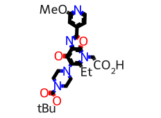 CCc1c(N2CCN(C(=O)OC(C)(C)C)CC2)c(=O)c2nc(-c3ccnc(OC)c3)oc2n1CC(=O)O